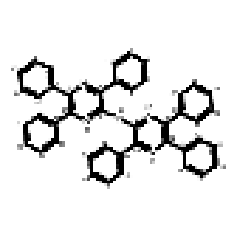 c1ccc(-c2nc(-c3ccccc3)c(-c3ccccc3)n[c]2[Ir+][c]2nc(-c3ccccc3)c(-c3ccccc3)nc2-c2ccccc2)cc1